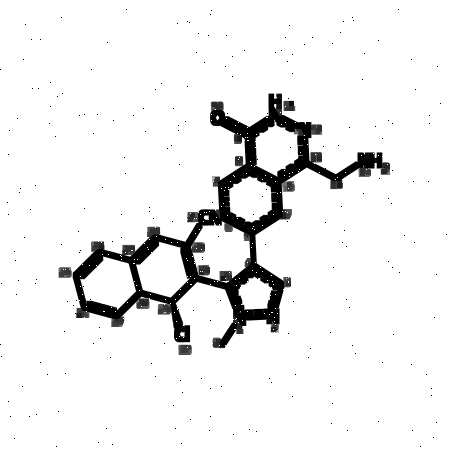 Cn1ncc(-c2ccc3c(=O)[nH]nc(CN)c3c2)c1C1=C(C#N)C=C2C=CC=CC2[C@@H]1Cl